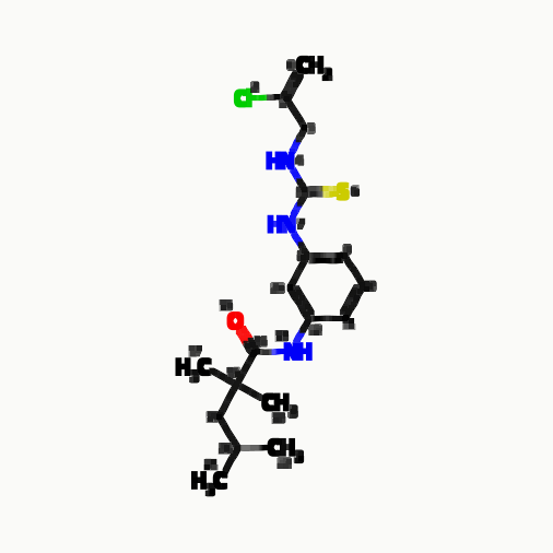 C=C(Cl)CNC(=S)Nc1cccc(NC(=O)C(C)(C)CC(C)C)c1